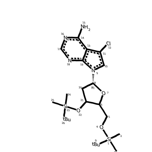 CC(C)(C)[Si](C)(C)OCC1O[C@@H](n2cc(Cl)c3c(N)ncnc32)CC1O[Si](C)(C)C(C)(C)C